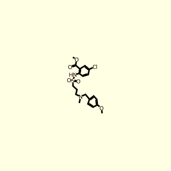 COC(=O)c1cc(Cl)ccc1NS(=O)(=O)CCCN(C)Cc1ccc(OC)cc1